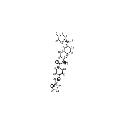 CC1CCN([C@H](C)C2=CC3CCC(NC(=O)c4ccc(OC[C@@H]5CCCO5)cc4)CC3C=C2)CC1